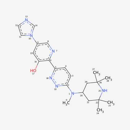 CN(c1ccc(-c2ncc(-n3ccnc3)cc2O)nn1)C1CC(C)(C)NC(C)(C)C1